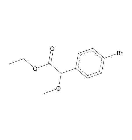 CCOC(=O)C(OC)c1ccc(Br)cc1